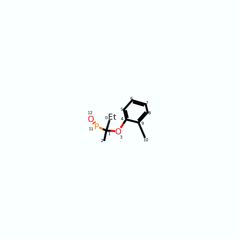 CCC(C)(Oc1ccccc1C)P=O